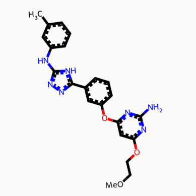 COCCOc1cc(Oc2cccc(-c3nnc(Nc4cccc(C)c4)[nH]3)c2)nc(N)n1